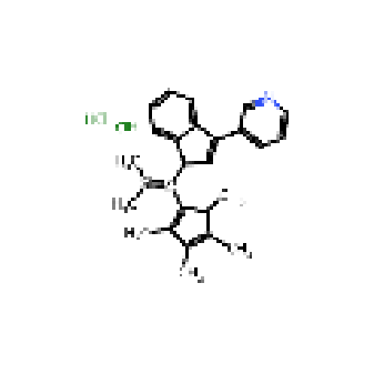 CC1=C(C)C(C)[C]([Zr]([CH]2C=C(c3cccnc3)c3ccccc32)=[Si](C)C)=C1C.Cl.Cl